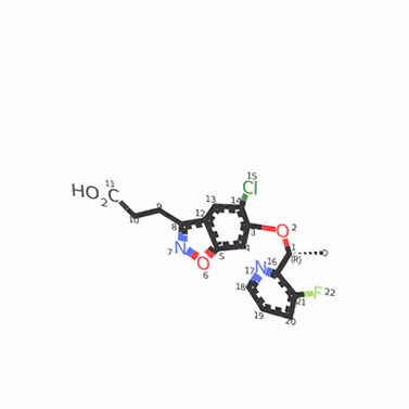 C[C@@H](Oc1cc2onc(CCC(=O)O)c2cc1Cl)c1ncccc1F